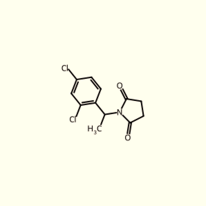 CC(c1ccc(Cl)cc1Cl)N1C(=O)CCC1=O